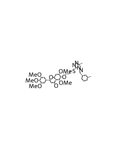 COc1cc(-c2cc(=O)c3c(OC)c(OCCCSc4nnc(C)n4N=Cc4cccc(C)c4)c(OC)cc3o2)cc(OC)c1OC